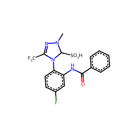 CN1N=C(C(F)(F)F)N(c2ccc(F)cc2NC(=O)c2ccccc2)C1S(=O)(=O)O